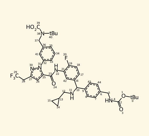 CC(C)(C)OC(=O)NCc1ccc(C(NCC2CC2)c2ccc(F)c(NC(=O)c3cc(CC(F)(F)F)nn3-c3cccc(CN(C(=O)O)C(C)(C)C)c3)c2)cc1